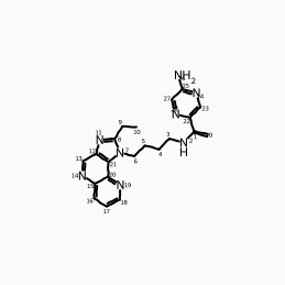 C=C(NCCCCn1c(CC)nc2cnc3cccnc3c21)c1cnc(N)cn1